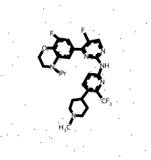 CC(C)N1CCOc2c(F)cc(-c3nc(Nc4ccc(C5CCN(C)CC5)c(C(F)(F)F)n4)ncc3F)cc21